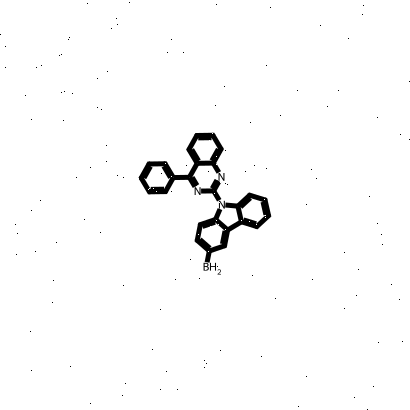 Bc1ccc2c(c1)c1ccccc1n2-c1nc(-c2ccccc2)c2ccccc2n1